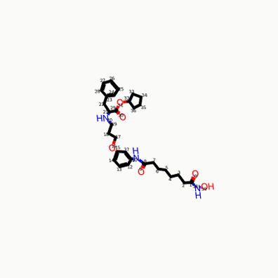 O=C(CCCCCCC(=O)Nc1cccc(OCCCNC(Cc2ccccc2)C(=O)OC2CCCC2)c1)NO